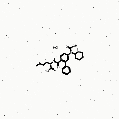 CSCCC(NC(=O)c1ccc(N(C(=O)O)C2CCCCN2)cc1-c1ccccc1)C(=O)O.Cl